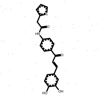 O=C(Cc1cccs1)Nc1ccc(C(=O)C=Cc2ccc(O)c(O)c2)cc1